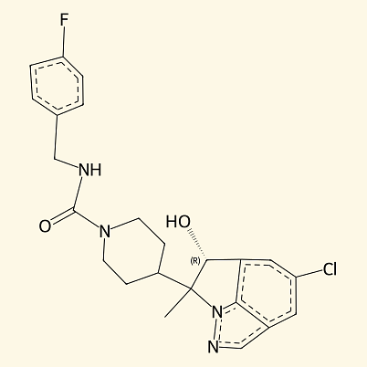 CC1(C2CCN(C(=O)NCc3ccc(F)cc3)CC2)[C@H](O)c2cc(Cl)cc3cnn1c23